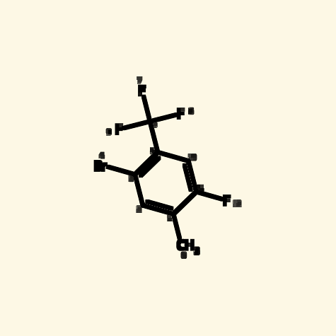 Cc1cc(Br)c(C(F)(F)F)cc1F